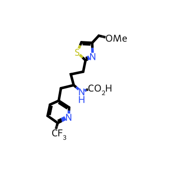 COCc1csc(CCC(Cc2ccc(C(F)(F)F)nc2)NC(=O)O)n1